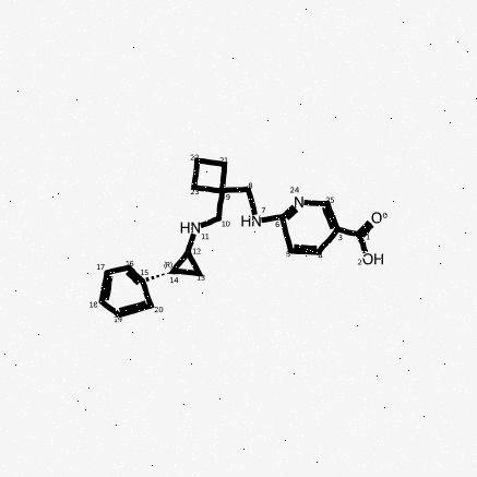 O=C(O)c1ccc(NCC2(CNC3C[C@@H]3c3ccccc3)CCC2)nc1